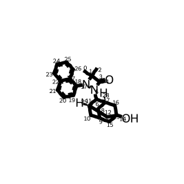 CC1(C)C(=O)N(C2[C@@H]3CC4C[C@H]2CC(O)(C4)C3)N1c1cccc2ccccc12